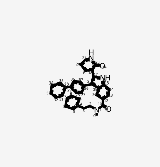 CN(CCc1ccccc1)C(=O)c1ccc2[nH]c(-c3ccc[nH]c3=O)c(-c3ccc(-c4ccccc4)cc3)c2c1